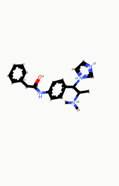 CC(C(c1ccc(NC(=O)Cc2ccccc2)cc1)n1ccnc1)N(C)C